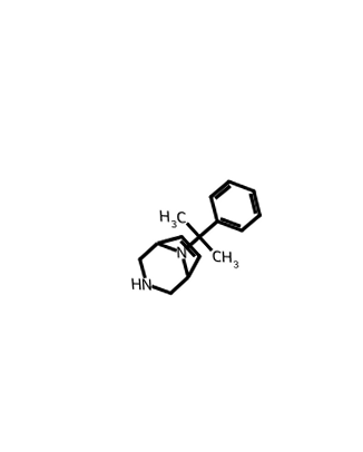 CC(C)(c1ccccc1)N1C2C=CC1CNC2